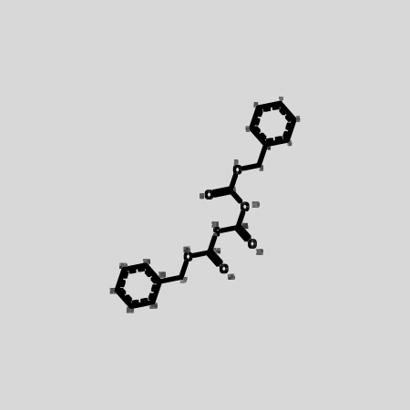 O=C(OCc1ccccc1)OC(=O)SC(=O)OCc1ccccc1